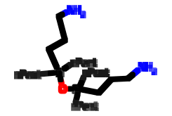 CCCCC[Si](CCCN)(CCCCC)O[Si](CCCN)(CCCCC)CCCCC